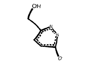 [O]c1ccc(CO)nn1